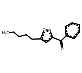 CCCCCc1cc(C(=O)c2ccccc2)no1